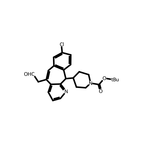 CC(C)(C)OC(=O)N1CCC(C2c3ccc(Cl)cc3C=C(CC=O)c3cccnc32)CC1